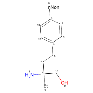 CCCCCCCCCc1ccc(CCC(N)(CC)CO)cc1